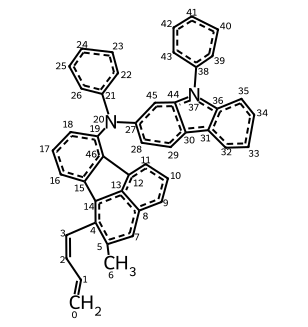 C=C/C=C\c1c(C)cc2cccc3c2c1-c1cccc(N(c2ccccc2)c2ccc4c5ccccc5n(-c5ccccc5)c4c2)c1-3